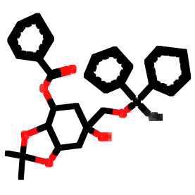 CC1(C)OC2CC(O)(CO[Si](c3ccccc3)(c3ccccc3)C(C)(C)C)CC(OC(=O)c3ccccc3)C2O1